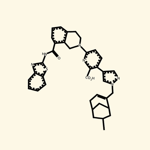 CC1CC2CC=C(Cn3cc(-c4ccc(N5CCc6cccc(C(=O)Nc7nc8ccccc8s7)c6C5)nc4C(=O)O)cn3)C(C1)C2